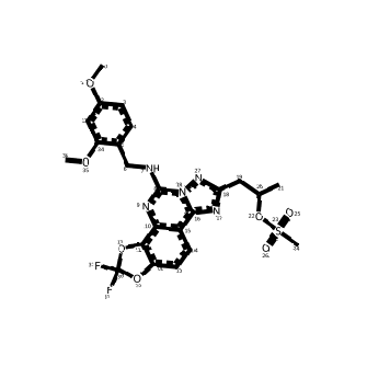 COc1ccc(CNc2nc3c4c(ccc3c3nc(CC(C)OS(C)(=O)=O)nn23)OC(F)(F)O4)c(OC)c1